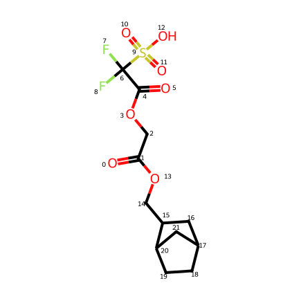 O=C(COC(=O)C(F)(F)S(=O)(=O)O)OCC1CC2CCC1C2